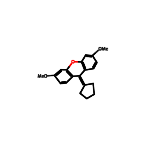 COc1ccc2c(c1)Oc1cc(OC)ccc1C2=C1CCCC1